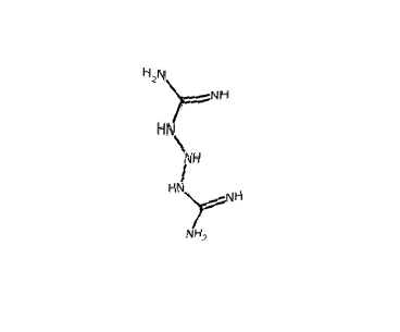 N=C(N)NNNC(=N)N